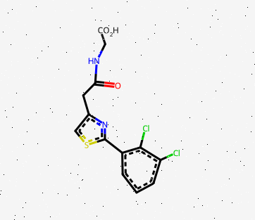 O=C(O)CNC(=O)Cc1csc(-c2cccc(Cl)c2Cl)n1